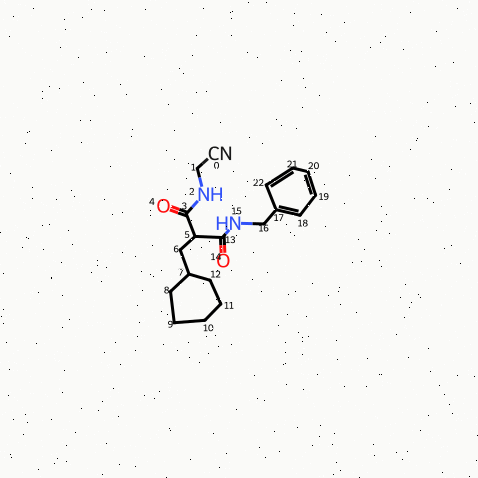 N#CCNC(=O)C(CC1CCCCC1)C(=O)NCc1ccccc1